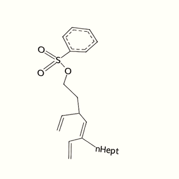 C=CC(=CC(C=C)CCOS(=O)(=O)c1ccccc1)CCCCCCC